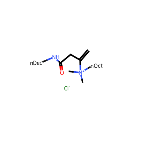 C=C(CC(=O)NCCCCCCCCCC)[N+](C)(C)CCCCCCCC.[Cl-]